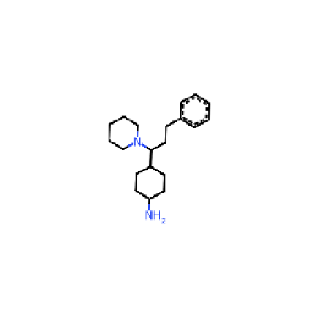 NC1CCC(C(CCc2ccccc2)N2CCCCC2)CC1